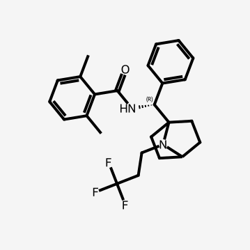 Cc1cccc(C)c1C(=O)N[C@H](c1ccccc1)C12CCC(CC1)N2CCC(F)(F)F